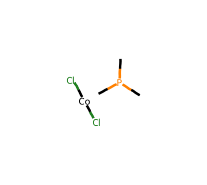 CP(C)C.[Cl][Co][Cl]